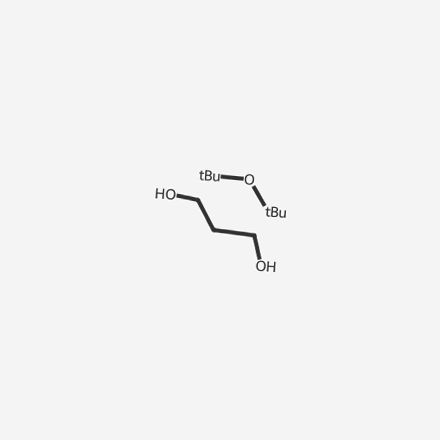 CC(C)(C)OC(C)(C)C.OCCCO